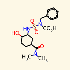 CN(C)C(=O)C1CCC(O)C(NS(=O)(=O)N(Cc2ccccc2)C(=O)O)C1